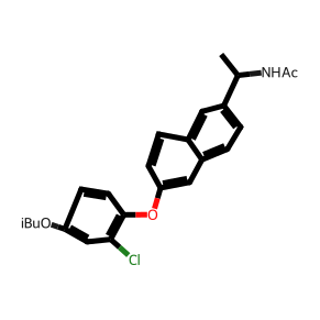 CC(=O)NC(C)c1ccc2cc(Oc3ccc(OCC(C)C)cc3Cl)ccc2c1